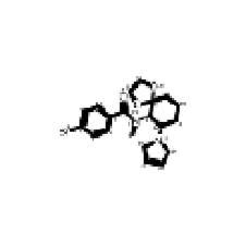 CN(C(=O)c1ccc(Br)cc1)[C@@H]1[C@@H](N2CC=CC2)CCCC12OCCO2